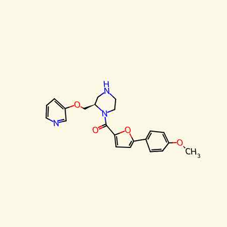 COc1ccc(-c2ccc(C(=O)N3CCNC[C@@H]3COc3cccnc3)o2)cc1